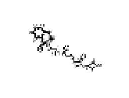 O=C(CSCC(=O)NC1CCC1)NCCn1ncc2ccccc2c1=O